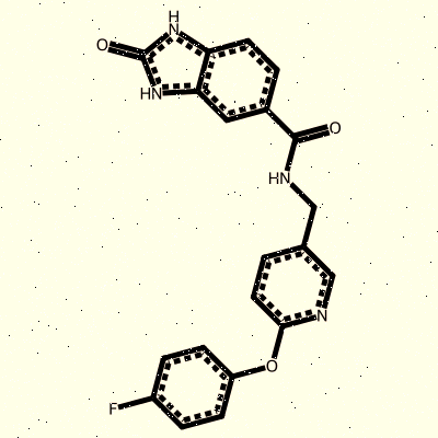 O=C(NCc1ccc(Oc2ccc(F)cc2)nc1)c1ccc2[nH]c(=O)[nH]c2c1